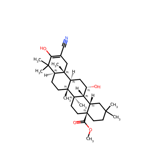 COC(=O)[C@]12CCC(C)(C)C[C@H]1[C@H]1[C@@H](O)C[C@@H]3[C@@]4(C)CC(C#N)=C(O)C(C)(C)[C@@H]4CC[C@@]3(C)[C@]1(C)CC2